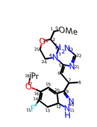 COCC1CN(C(=C/C(C)C2=NNC3CC(F)=C(OC(C)C)C=C23)/N=C\N)CCO1